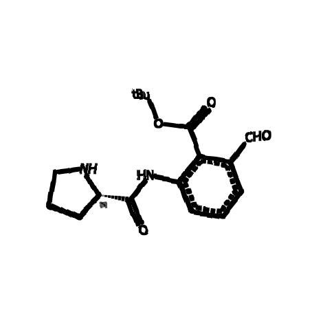 CC(C)(C)OC(=O)c1c(C=O)cccc1NC(=O)[C@@H]1CCCN1